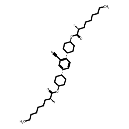 CCCCCCC[C@H](F)C(=O)O[C@H]1CC[C@H](c2ccc([C@H]3CC[C@H](OC(=O)[C@@H](F)CCCCCCC)CC3)c(C#N)c2)CC1